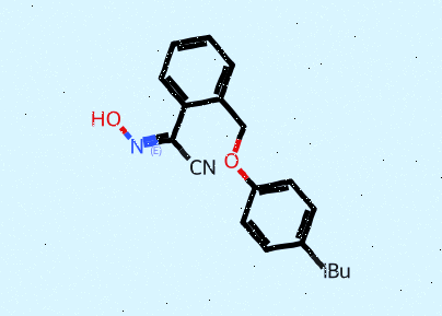 CCC(C)c1ccc(OCc2ccccc2/C(C#N)=N\O)cc1